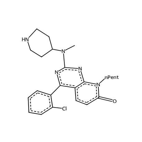 CCCCCn1c(=O)ccc2c(-c3ccccc3Cl)nc(N(C)C3CCNCC3)nc21